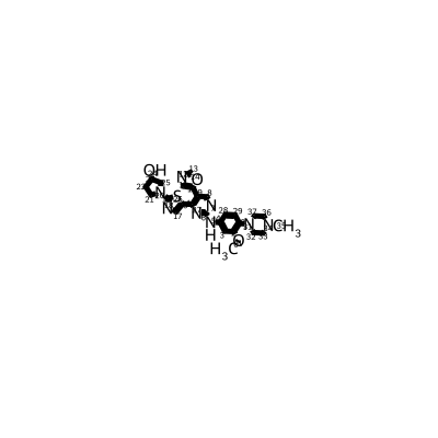 COc1cc(Nc2ncc(-c3cnco3)c(-c3cnc(N4CCC(O)C4)s3)n2)ccc1N1CCN(C)CC1